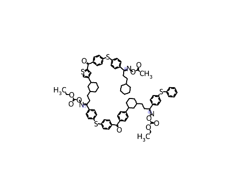 CCOC(=O)O/N=C(\CCC1CCCC(c2ccc(C(=O)c3ccc(Sc4ccc(/C(CCC5CCCC(c6csc(C(=O)c7ccc(Sc8ccc(/C(CCC9CCCCC9)=N/OC(C)=O)cc8)cc7)c6)C5)=N/OC(=O)OCC)cc4)cc3)cc2)C1)c1ccc(Sc2ccccc2)cc1